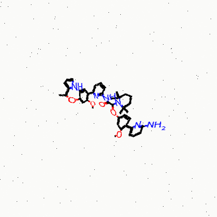 COc1cc(OC(C(=O)Nc2cccc(-c3ccc(OC(C)c4ccc[nH]4)cc3OC)n2)N2C(C)(C)CCCC2(C)C)ccc1-c1cccc(N)n1